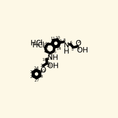 Cl.Cl.O=C(O)CCNCc1ccc2c(c1)CC(NC[C@H](O)COc1ccccc1)CCC2